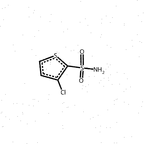 NS(=O)(=O)c1sccc1Cl